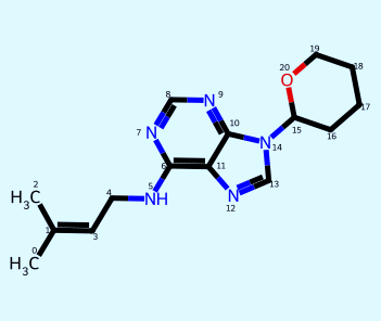 CC(C)=CCNc1ncnc2c1ncn2C1CCCCO1